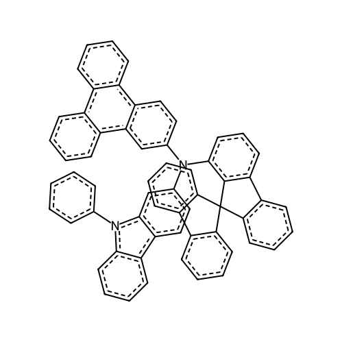 c1ccc(-n2c3ccccc3c3ccc(N(c4ccc5c6ccccc6c6ccccc6c5c4)c4cccc5c4C4(c6ccccc6-c6ccccc64)c4ccccc4-5)cc32)cc1